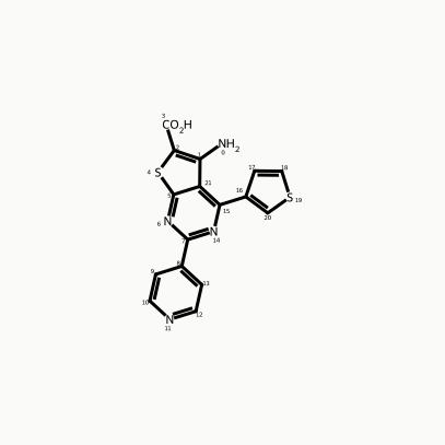 Nc1c(C(=O)O)sc2nc(-c3ccncc3)nc(-c3ccsc3)c12